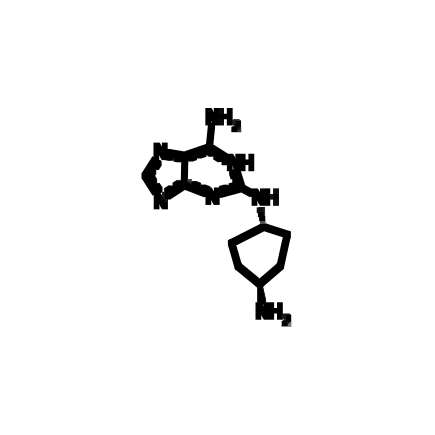 Nc1[nH]c(N[C@H]2CC[C@H](N)CC2)nc2ncnc1-2